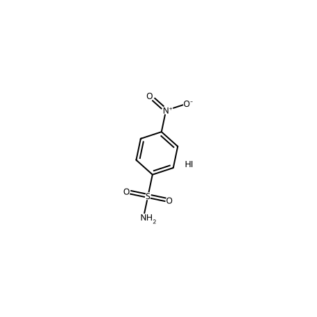 I.NS(=O)(=O)c1ccc([N+](=O)[O-])cc1